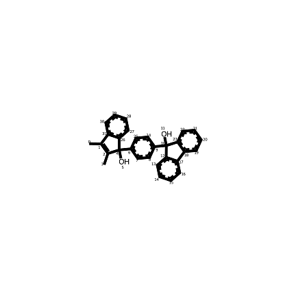 CC1=C(C)C(O)(c2ccc(C3(O)c4ccccc4-c4ccccc43)cc2)c2ccccc21